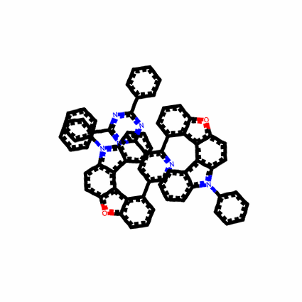 c1ccc(-c2nc(-c3ccccc3)nc(-c3cc(-c4cccc5oc6ccc7c(c8ccccc8n7-c7ccccc7)c6c45)cnc3-c3cccc4oc5ccc6c(c7ccccc7n6-c6ccccc6)c5c34)n2)cc1